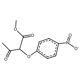 COC(=O)C(Oc1ccc([N+](=O)[O-])cc1)C(C)=O